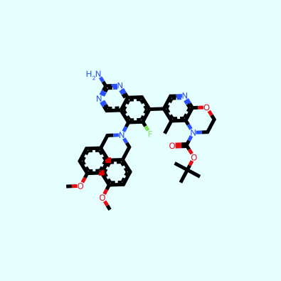 COc1ccc(CN(Cc2ccc(OC)cc2)c2c(F)c(-c3cnc4c(c3C)N(C(=O)OC(C)(C)C)CCO4)cc3nc(N)ncc23)cc1